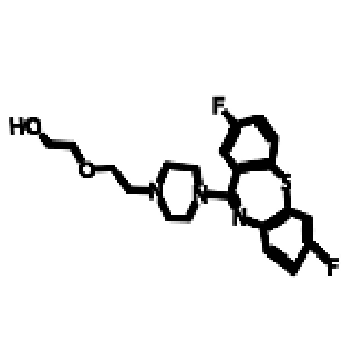 OCCOCCN1CCN(C2=Nc3ccc(F)cc3Sc3ccc(F)cc32)CC1